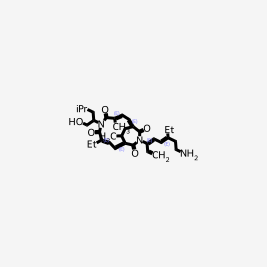 C=C/C(=C\C=C(/CC)CCN)N1C(=O)/C2=C/C=C(\C)C(=O)N(C(CO)CC(C)C)C(=O)/C(CC)=C/C=C(/C1=O)C(C)C2